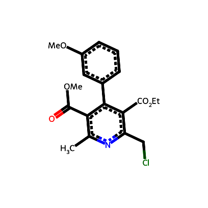 CCOC(=O)c1c(CCl)nc(C)c(C(=O)OC)c1-c1cccc(OC)c1